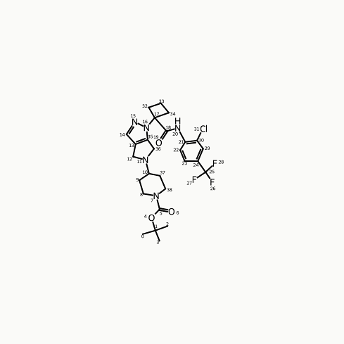 CC(C)(C)OC(=O)N1CCC(N2Cc3cnn(C4(C(=O)Nc5ccc(C(F)(F)F)cc5Cl)CCC4)c3C2)CC1